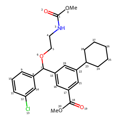 COC(=O)NCCOC(c1cccc(Cl)c1)c1cc(C(=O)OC)cc(C2CCCCC2)c1